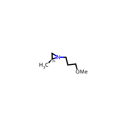 COCCCN1C[C@@H]1C